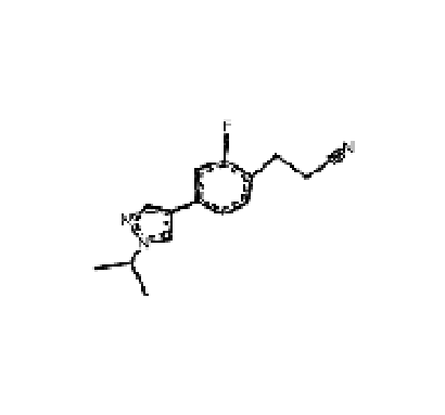 CC(C)n1cc(-c2ccc(CCC#N)c(F)c2)cn1